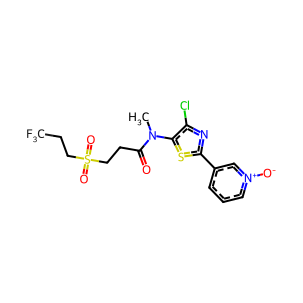 CN(C(=O)CCS(=O)(=O)CCC(F)(F)F)c1sc(-c2ccc[n+]([O-])c2)nc1Cl